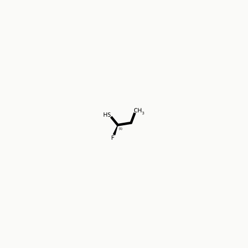 CC[C@@H](F)S